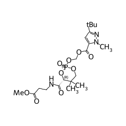 COC(=O)CCNC(=O)[C@@H]1O[P@@](=O)(OCOC(=O)c2cc(C(C)(C)C)nn2C)OCC1(C)C